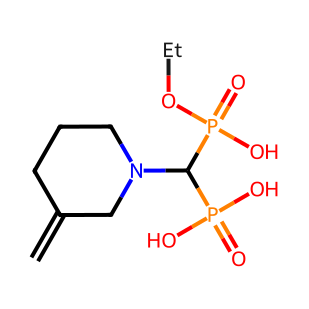 C=C1CCCN(C(P(=O)(O)O)P(=O)(O)OCC)C1